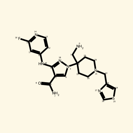 NCC1(n2cc(C(N)=O)c(Nc3ccnc(F)c3)n2)CCN(Cc2cscn2)CC1